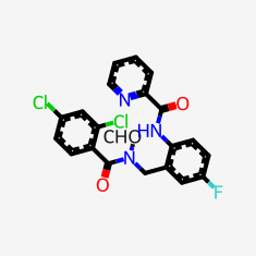 O=CN(Cc1cc(F)ccc1NC(=O)c1ccccn1)C(=O)c1ccc(Cl)cc1Cl